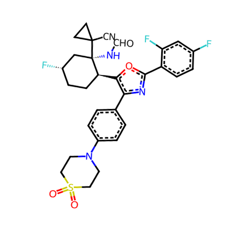 N#CC1([C@]2(NC=O)C[C@@H](F)CC[C@@H]2c2oc(-c3ccc(F)cc3F)nc2-c2ccc(N3CCS(=O)(=O)CC3)cc2)CC1